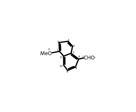 COc1cccc2c([C]=O)cccc12